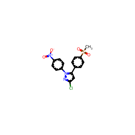 CS(=O)(=O)c1ccc(-c2cc(Cl)nn2-c2ccc([N+](=O)[O-])cc2)cc1